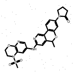 CC1Oc2cc(N3CCCC3=O)ccc2-c2cnc(Nc3cnc4c(c3)N(S(C)(=O)=O)CCO4)cc21